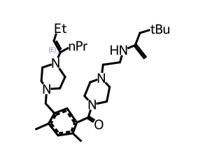 C=C(CC(C)(C)C)NCCN1CCN(C(=O)c2cc(CN3CCN(/C(=C/CC)CCC)CC3)c(C)cc2C)CC1